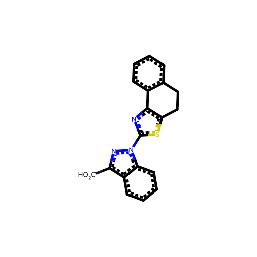 O=C(O)c1nn(-c2nc3c(s2)CCc2ccccc2-3)c2ccccc12